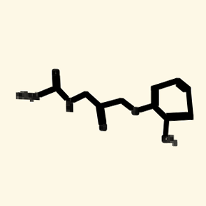 CCCCCCCC(=O)NCC(=O)COc1ccccc1C